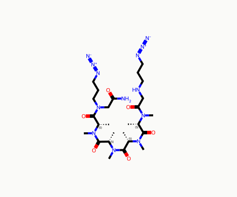 C[C@@H](C(=O)N(C)[C@@H](C)C(=O)N(C)[C@@H](C)C(=O)N(C)[C@@H](C)C(=O)N(CCCN=[N+]=[N-])CC(N)=O)N(C)C(=O)CNCCCN=[N+]=[N-]